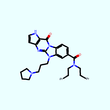 CC(C)CCN(CCC(C)C)C(=O)c1ccc2c(c1)n(CCCN1CCCC1)c1nc3cc[nH]c3c(=O)n21